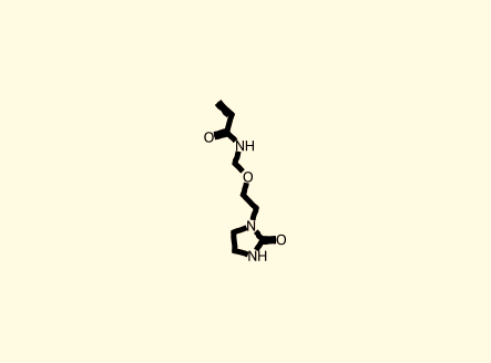 C=CC(=O)NCOCCN1CCNC1=O